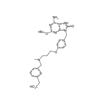 CCCCOc1nc(N)c2[nH]c(=O)n(Cc3ccc(OCCCN(C)Cc4cccc(CC(=O)O)c4)cc3)c2n1